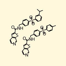 CC(C)c1cccc(S(=O)(=O)c2ccc(CNC(=O)c3cc4ccncc4s3)cc2)c1.Cc1ccc(S(=O)(=O)c2ccc(CNC(=O)c3cc4ccncc4s3)cc2)cc1